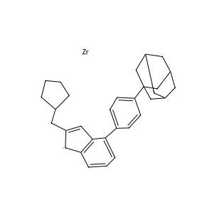 [CH]1C(CC2CCCC2)=Cc2c1cccc2-c1ccc(C23CC4CC(CC(C4)C2)C3)cc1.[Zr]